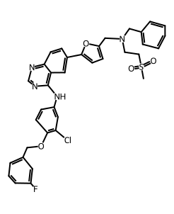 CS(=O)(=O)CCN(Cc1ccccc1)Cc1ccc(-c2ccc3ncnc(Nc4ccc(OCc5cccc(F)c5)c(Cl)c4)c3c2)o1